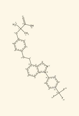 CC(C)(Oc1ccc(OCc2cccc3c2cnn3-c2ccc(C(F)(F)F)cc2)cc1)C(=O)O